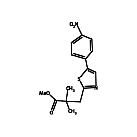 COC(=O)C(C)(C)Cc1ncc(-c2ccc([N+](=O)[O-])cc2)s1